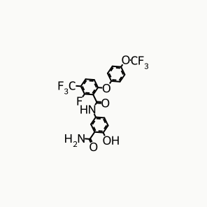 NC(=O)c1cc(NC(=O)c2c(Oc3ccc(OC(F)(F)F)cc3)ccc(C(F)(F)F)c2F)ccc1O